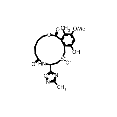 COc1cc(O)c2c(c1C)C(=O)OCCCCC(=O)N[C@H](c1nc(C)no1)C[S@+]([O-])C2